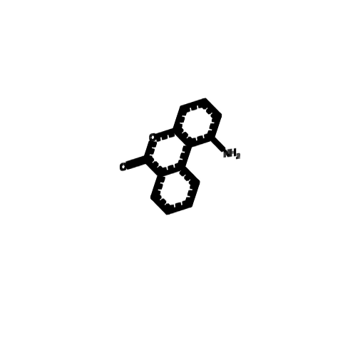 Nc1cccc2oc(=O)c3ccccc3c12